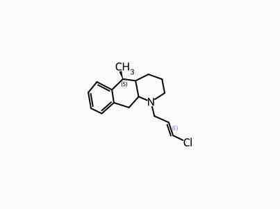 C[C@@H]1c2ccccc2CC2C1CCCN2C/C=C/Cl